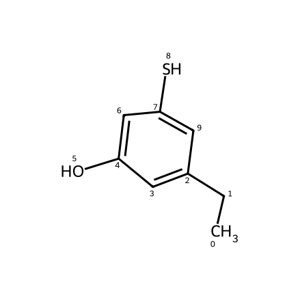 CCc1cc(O)cc(S)c1